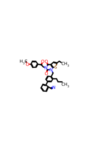 CCCCc1cc(-c2ccccc2C#N)ccc1Cn1c(=O)n(CC(=O)c2ccc(OC)cc2)c(=O)c2cc(CC)sc21